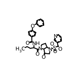 CCCC(NC(=O)c1ccc(Oc2ccccc2)cc1)C(=O)N1CCC2C1C(=O)CN2S(=O)(=O)C(=O)c1cccnc1